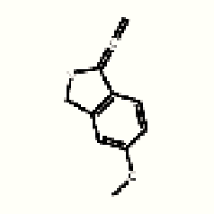 C=C=C1OCc2cc(OC)ccc21